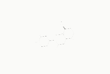 CC(CC1CCCC(=O)N1C(C)(C)C)OC1CCOCC1